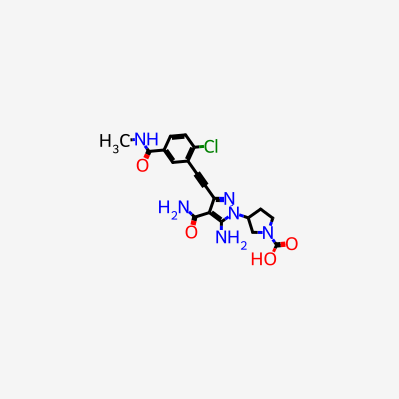 CNC(=O)c1ccc(Cl)c(C#Cc2nn(C3CCN(C(=O)O)C3)c(N)c2C(N)=O)c1